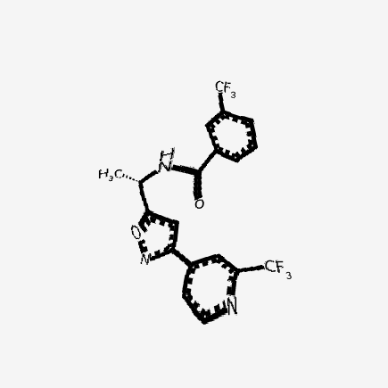 C[C@H](NC(=O)c1cccc(C(F)(F)F)c1)c1cc(-c2ccnc(C(F)(F)F)c2)no1